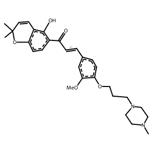 COc1cc(/C=C/C(=O)c2ccc3c(c2O)C=CC(C)(C)O3)ccc1OCCCN1CCN(C)CC1